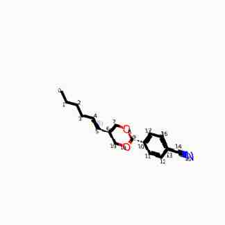 CCCC/C=C/[C@H]1CO[C@H](c2ccc(C#N)cc2)OC1